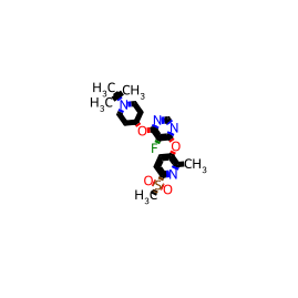 Cc1nc(S(C)(=O)=O)ccc1Oc1ncnc(OC2CCN(C(C)(C)C)CC2)c1F